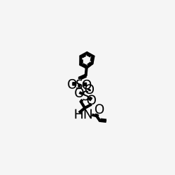 C=CC(=O)NC(C)(C)CS(=O)(=O)OS(=O)(=O)C=Cc1ccccc1